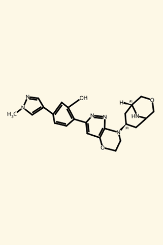 Cn1cc(-c2ccc(-c3cc4c(nn3)N([C@@H]3CC5COC[C@@H](C3)N5)CCO4)c(O)c2)cn1